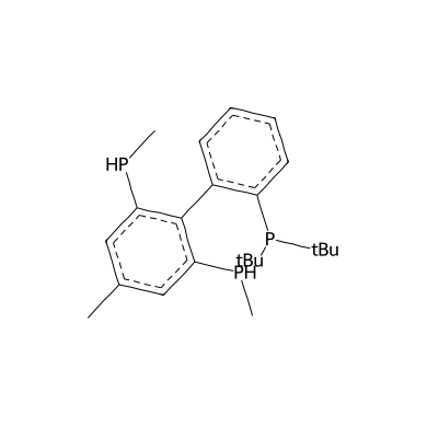 CPc1cc(C)cc(PC)c1-c1ccccc1P(C(C)(C)C)C(C)(C)C